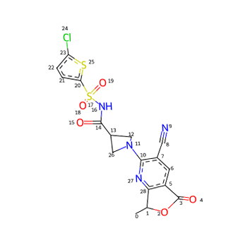 CC1OC(=O)c2cc(C#N)c(N3CC(C(=O)NS(=O)(=O)c4ccc(Cl)s4)C3)nc21